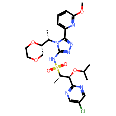 COc1cccc(-c2nnc(NS(=O)(=O)[C@@H](C)[C@@H](OC(C)C)c3ncc(Cl)cn3)n2[C@@H](C)[C@@H]2COCCO2)n1